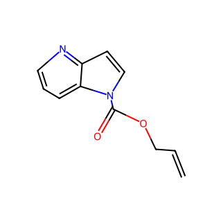 C=CCOC(=O)n1ccc2ncccc21